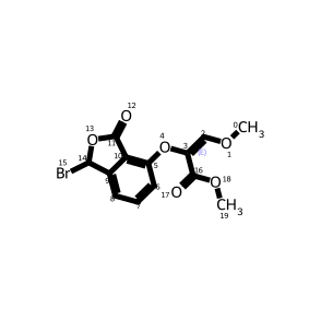 CO/C=C(/Oc1cccc2c1C(=O)OC2Br)C(=O)OC